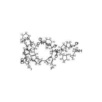 CCn1c(-c2cc(N3CCN4CCCC[C@@H]4C3)cnc2[C@H](C)OC)c2c3cc(ccc31)-c1cc(CF)cc(c1)C[C@H](NC(=O)C(C1CCCC1)N1CC[C@]3(CCN(C(=O)[C@@H]4NC4C4CC4)C3)C1)C(=O)N1CCC[C@H](N1)C(=O)OCC(C)(C)C2